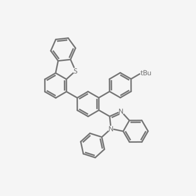 CC(C)(C)c1ccc(-c2cc(-c3cccc4c3sc3ccccc34)ccc2-c2nc3ccccc3n2-c2ccccc2)cc1